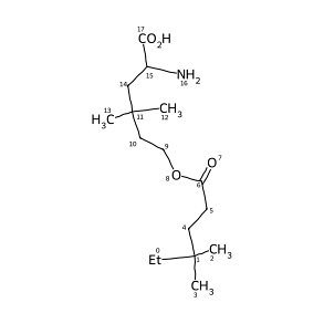 CCC(C)(C)CCC(=O)OCCC(C)(C)CC(N)C(=O)O